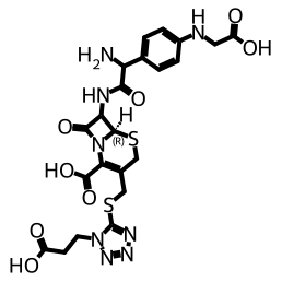 NC(C(=O)NC1C(=O)N2C(C(=O)O)=C(CSc3nnnn3CCC(=O)O)CS[C@H]12)c1ccc(NCC(=O)O)cc1